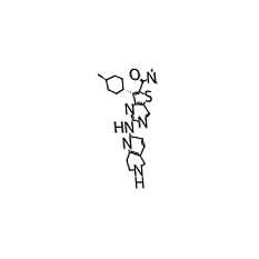 CN(C)C(=O)c1sc2cnc(Nc3ccc4c(n3)CCNC4)nc2c1[C@H]1CC[C@H](C)CC1